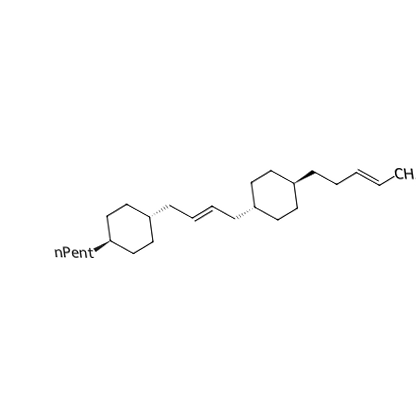 CC=CCC[C@H]1CC[C@H](CC=CC[C@H]2CC[C@H](CCCCC)CC2)CC1